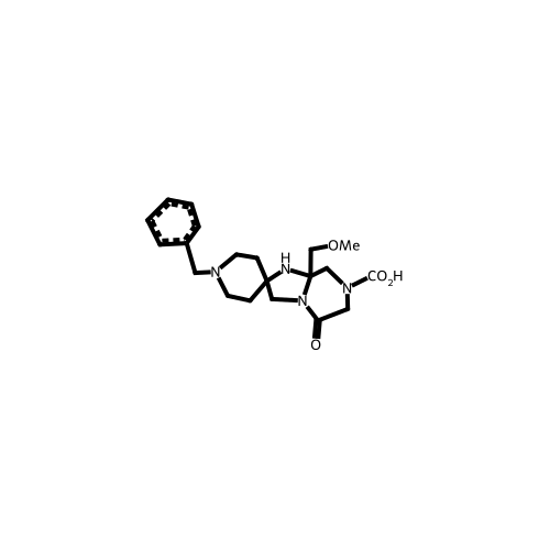 COCC12CN(C(=O)O)CC(=O)N1CC1(CCN(Cc3ccccc3)CC1)N2